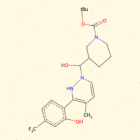 CC1=C(c2ccc(C(F)(F)F)cc2O)NN(C(O)C2CCCN(C(=O)OC(C)(C)C)C2)C=C1